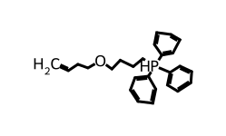 C=CCCOCCCC[PH](c1ccccc1)(c1ccccc1)c1ccccc1